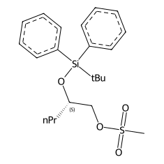 CCC[C@@H](COS(C)(=O)=O)O[Si](c1ccccc1)(c1ccccc1)C(C)(C)C